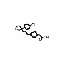 O=C(O)Cc1ccc(CCCC2(c3ccc(Cl)cc3)CCOC2)cc1